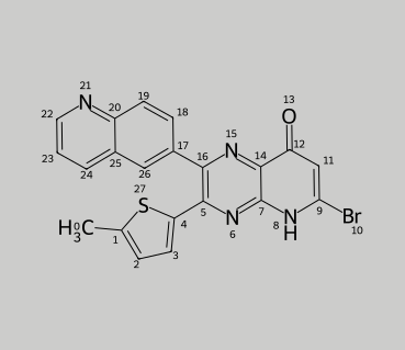 Cc1ccc(-c2nc3[nH]c(Br)cc(=O)c3nc2-c2ccc3ncccc3c2)s1